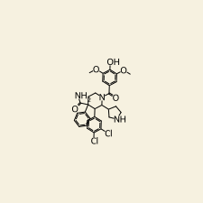 COc1cc(C(=O)N2CCC(C(N)=O)(c3ccccc3)C(c3ccc(Cl)c(Cl)c3)C2C2CCNC2)cc(OC)c1O